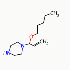 C=CC(OCCCCC)N1CCNCC1